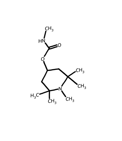 CNC(=O)OC1CC(C)(C)N(C)C(C)(C)C1